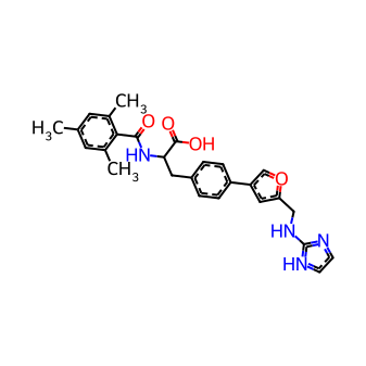 Cc1cc(C)c(C(=O)NC(Cc2ccc(-c3coc(CNc4ncc[nH]4)c3)cc2)C(=O)O)c(C)c1